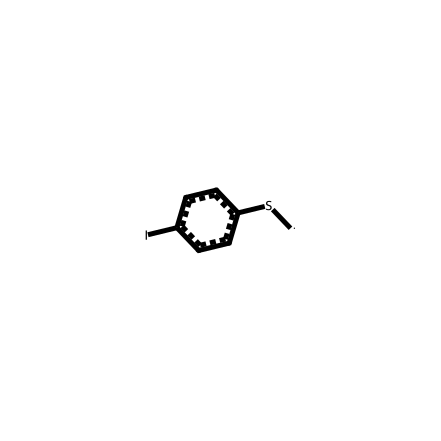 [CH2]Sc1ccc(I)cc1